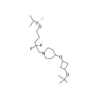 CC(C)[C@H](C)OCCCC(F)(F)CN1CCC(OC2CC(OC(C)(C)C)C2)CC1